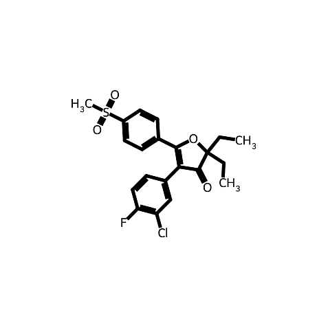 CCC1(CC)OC(c2ccc(S(C)(=O)=O)cc2)=C(c2ccc(F)c(Cl)c2)C1=O